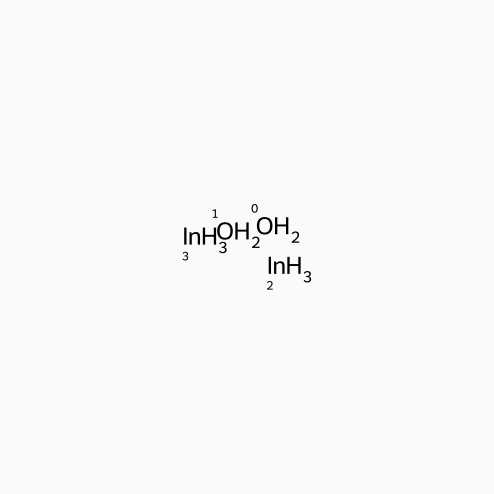 O.O.[InH3].[InH3]